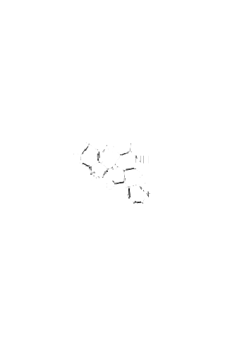 CC(=O)C1=C(C)NC(C)=C(C(=O)c2cccnc2)C1c1csc2ccccc12